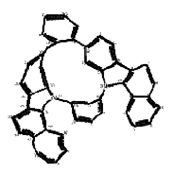 c1ccc2c(c1)ccc1c3ccc4cc3n(c3cccc(c3)n3c5cc(ccc5c5ccc6ccccc6c53)c3ccccc43)c21